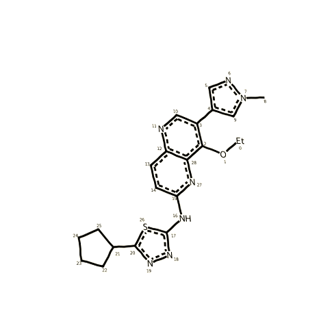 CCOc1c(-c2cnn(C)c2)cnc2ccc(Nc3nnc(C4CCCC4)s3)nc12